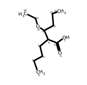 CCCCC(C(=O)O)C(CCC)OCC